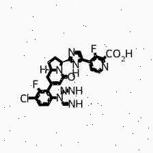 N=CN(N=N)c1ccc(Cl)c(F)c1C1=CC(=O)N2[C@H](CC[C@H]2c2ncc(-c3ccnc(C(=O)O)c3F)[nH]2)C1